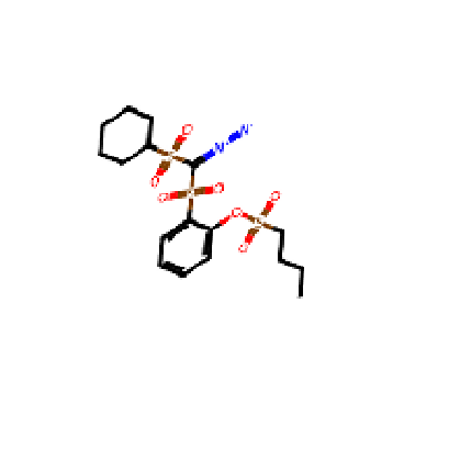 CCCCS(=O)(=O)Oc1ccccc1S(=O)(=O)C(=[N+]=[N-])S(=O)(=O)C1CCCCC1